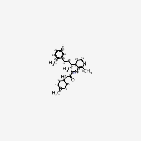 CC1=C(/N=C(\C)C(=O)NC2CCN(C)CC2)C(CCCc2cc(F)ccc2C)CC=N1